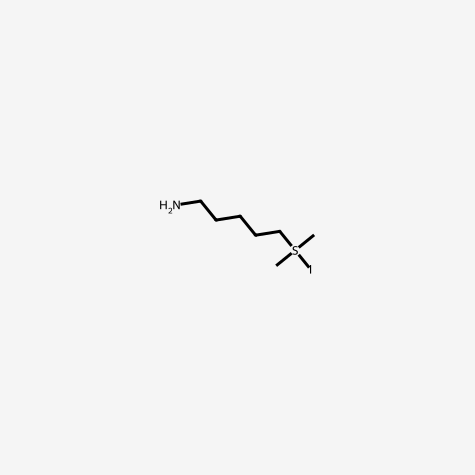 CS(C)(I)CCCCCN